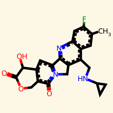 Cc1cc2c(CNC3CC3)c3c(nc2cc1F)-c1cc2c(c(=O)n1C3)COC(=O)C2O